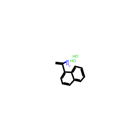 C=C(N)c1cccc2ccccc12.Cl.Cl